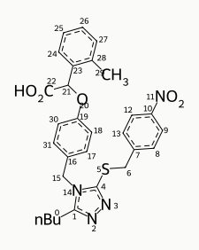 CCCCc1nnc(SCc2ccc([N+](=O)[O-])cc2)n1Cc1ccc(OC(C(=O)O)c2ccccc2C)cc1